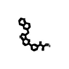 CC(=O)Nc1cccc(-c2ccc3ncc(Cc4ccc5ncccc5c4)n3n2)c1